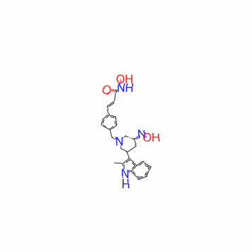 Cc1[nH]c2ccccc2c1C1CC(=NO)CN(Cc2ccc(C=CC(=O)NO)cc2)C1